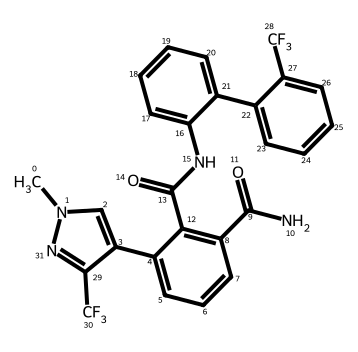 Cn1cc(-c2cccc(C(N)=O)c2C(=O)Nc2ccccc2-c2ccccc2C(F)(F)F)c(C(F)(F)F)n1